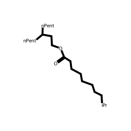 CCCCCC(CCCCC)CCOC(=O)CCCCCCCC(C)C